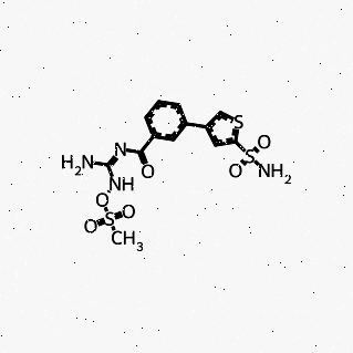 CS(=O)(=O)ONC(N)=NC(=O)c1cccc(-c2csc(S(N)(=O)=O)c2)c1